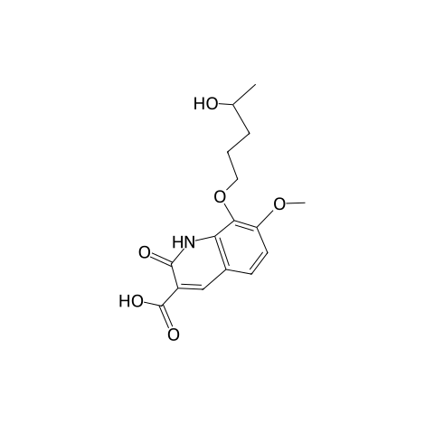 COc1ccc2cc(C(=O)O)c(=O)[nH]c2c1OCCCC(C)O